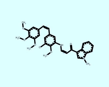 COc1cc(/C=C\c2cc(Cl)c(OC)c(N/C=C\C(=O)c3cn(C)c4ccccc34)c2)cc(OC)c1OC